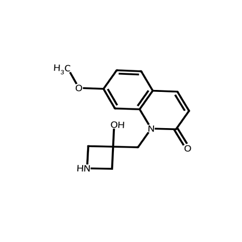 COc1ccc2ccc(=O)n(CC3(O)CNC3)c2c1